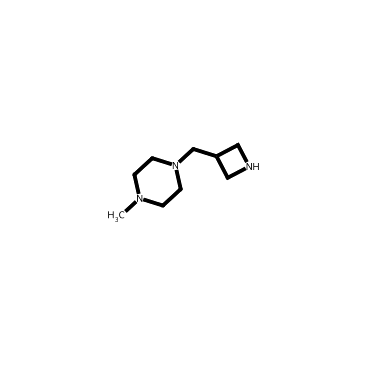 CN1CCN(CC2CNC2)CC1